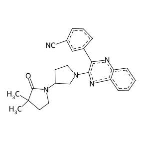 CC1(C)CCN(C2CCN(c3nc4ccccc4nc3-c3cccc(C#N)c3)C2)C1=O